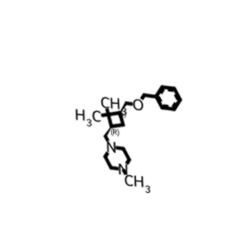 CN1CCN(C[C@@H]2C[C@H](COCc3ccccc3)C2(C)C)CC1